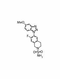 COc1ccc2c(c1)nnn2-c1cc2c(cc1F)CN(S(N)(=O)=O)CC2